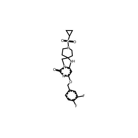 O=c1nc(OCc2ccc(F)c(F)c2)cc2n1CC1(CCN(S(=O)(=O)C3CC3)CC1)N2